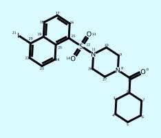 O=C(C1CCCCC1)N1CCN(S(=O)(=O)c2cccc3c(I)cccc23)CC1